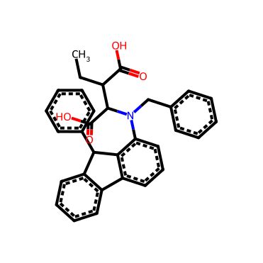 CCC(C(=O)O)C(C(=O)O)N(Cc1ccccc1)c1cccc2c1C(c1ccccc1)c1ccccc1-2